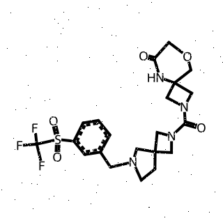 O=C1COCC2(CN(C(=O)N3CC4(CCN(Cc5cccc(S(=O)(=O)C(F)(F)F)c5)C4)C3)C2)N1